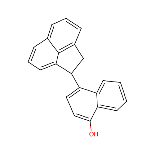 Oc1ccc(C2Cc3cccc4cccc2c34)c2ccccc12